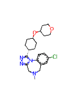 CN1Cc2cc(Cl)ccc2-n2c(nnc2[C@H]2CC[C@H](OC3CCOCC3)CC2)C1